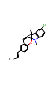 CN1c2ccc(Cl)cc2C(C)(C)C12C=Cc1cc(/C=C/[N+](=O)[O-])ccc1O2